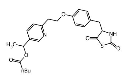 CCCCC(=O)OC(C)c1ccc(CCOc2ccc(CC3NC(=O)SC3=O)cc2)nc1